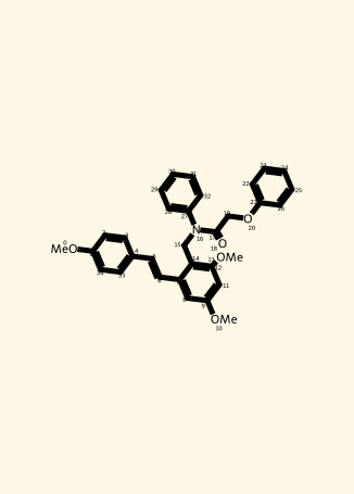 COc1ccc(C=Cc2cc(OC)cc(OC)c2CN(C(=O)COc2ccccc2)c2ccccc2)cc1